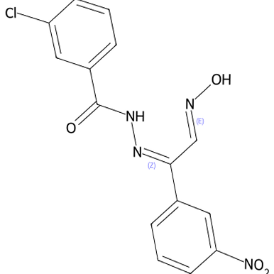 O=C(N/N=C(\C=N\O)c1cccc([N+](=O)[O-])c1)c1cccc(Cl)c1